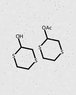 CC(=O)OC1CSCCS1.OC1CSCCS1